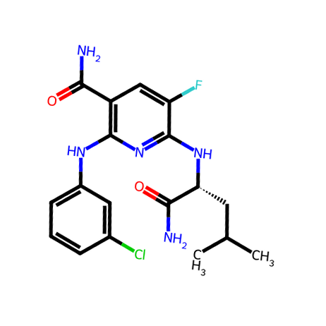 CC(C)C[C@@H](Nc1nc(Nc2cccc(Cl)c2)c(C(N)=O)cc1F)C(N)=O